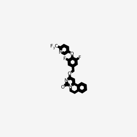 O=c1nc(OCc2cc(F)c(Oc3ccc(C(F)(F)F)nc3)c(F)c2)cc2n1CCc1ccccc1-2